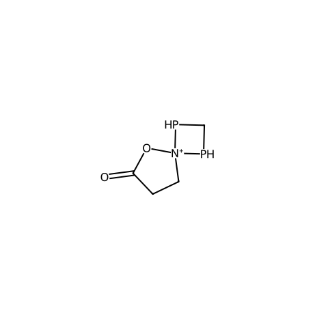 O=C1CC[N+]2(O1)PCP2